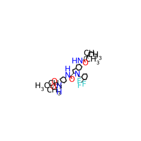 CC(C)(C)CC(=O)Nc1ccc2c(c1)cc(C(=O)Nc1ccc(NC(=O)OC(C)(C)C)cc1)n2Cc1ccccc1C(F)(F)F